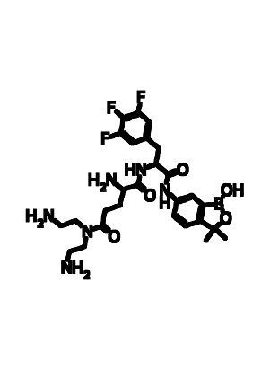 CC1(C)OB(O)c2cc(NC(=O)C(Cc3cc(F)c(F)c(F)c3)NC(=O)C(N)CCC(=O)N(CCN)CCN)ccc21